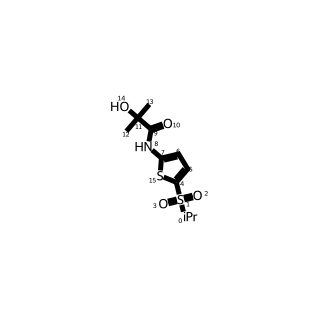 CC(C)S(=O)(=O)c1ccc(NC(=O)C(C)(C)O)s1